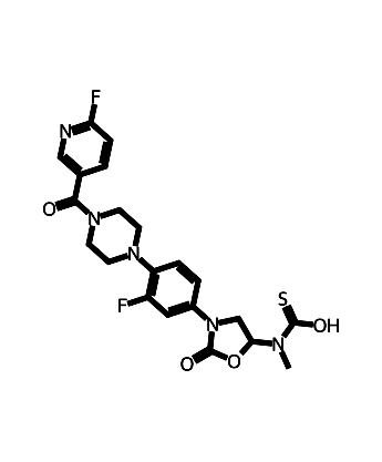 CN(C(O)=S)C1CN(c2ccc(N3CCN(C(=O)c4ccc(F)nc4)CC3)c(F)c2)C(=O)O1